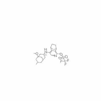 COC12CC(C)CC(C[C@H](Nc3cnc(OS(=O)(=O)C(F)(F)F)c4c3C3CCC4C3)C1)C2